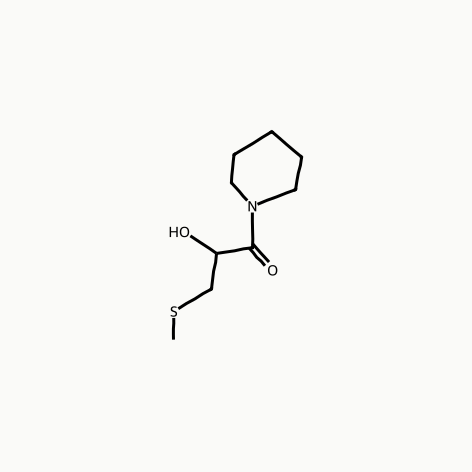 CSCC(O)C(=O)N1CCCCC1